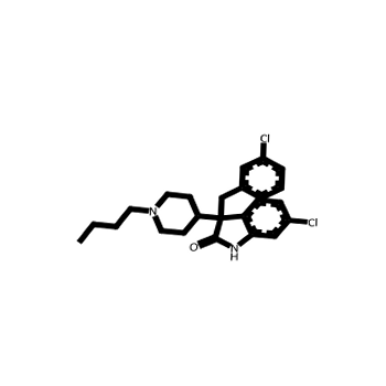 CCCCN1CCC(C2(Cc3cccc(Cl)c3)C(=O)Nc3cc(Cl)ccc32)CC1